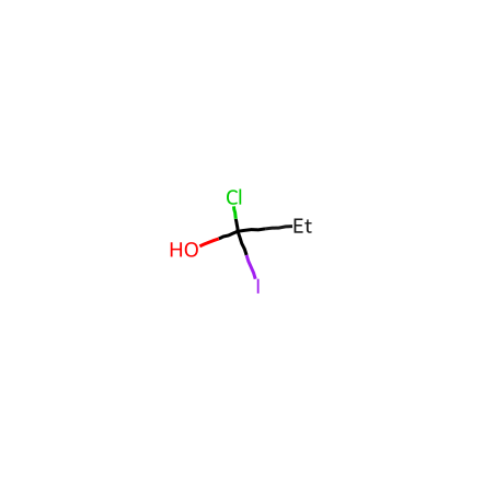 CCC(O)(Cl)I